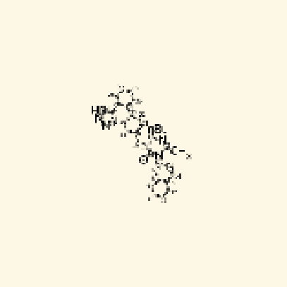 CCCCc1nc(C)n(-c2cc3ccccc3cn2)c(=O)c1Cc1ccc(-c2ccccc2-c2nnn[nH]2)cc1